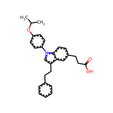 CC(C)Oc1ccc(-n2cc(CCc3ccccc3)c3cc(CCC(=O)O)ccc32)cc1